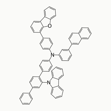 c1ccc(-c2ccc(-c3ccc(N(c4ccc(-c5cccc6c5oc5ccccc56)cc4)c4cccc(-c5ccc6ccccc6c5)c4)cc3)c(-n3c4ccccc4c4ccccc43)c2)cc1